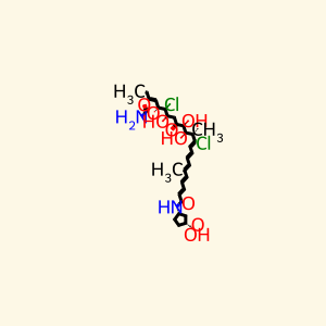 CC/C=C/[C@@H](OC(N)=O)[C@@H](Cl)[C@H](O)CC(=O)[C@@H](O)[C@H](O)[C@H](C)/C(Cl)=C/C=C/C=C(C)/C=C/C=C/C(=O)N[C@H]1CC[C@@H](C(=O)O)C1